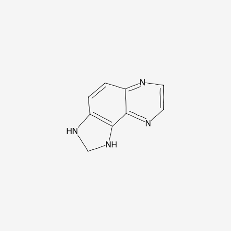 c1cnc2c3c(ccc2n1)NCN3